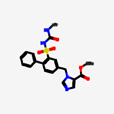 CCCNC(=O)NS(=O)(=O)c1cc(Cn2cncc2C(=O)OSC)ccc1-c1ccccc1